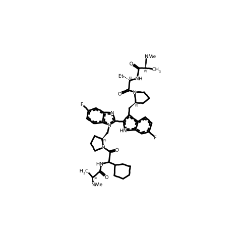 CC[C@H](NC(=O)[C@H](C)NC)C(=O)N1CCC[C@H]1Cc1c(-c2nc3cc(F)ccc3n2C[C@@H]2CCCN2C(=O)C(NC(=O)[C@H](C)NC)C2CCCCC2)[nH]c2cc(F)ccc12